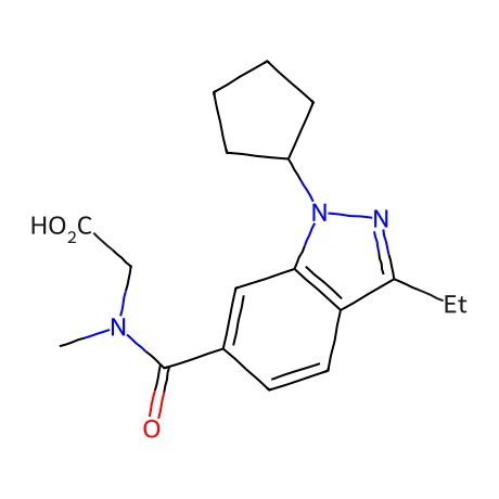 CCc1nn(C2CCCC2)c2cc(C(=O)N(C)CC(=O)O)ccc12